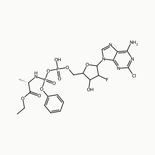 CCOC(=O)[C@H](C)NP(=O)(Oc1ccccc1)OP(=O)(O)OCC1OC(n2cnc3c(N)nc(Cl)nc32)C(F)C1O